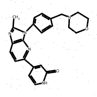 Cc1nc2ccc(-c3cc[nH]c(=O)c3)nc2n1-c1ccc(CN2CCOCC2)cc1